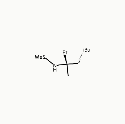 CC[C@@H](C)C[C@@](C)(CC)NSC